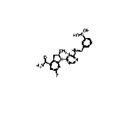 CC1Cc2c(C(N)=O)cc(F)cc2N1c1ncnc(NCc2cccc(B(O)O)c2)n1